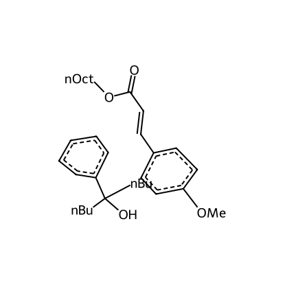 CCCCC(O)(CCCC)c1ccccc1.CCCCCCCCOC(=O)C=Cc1ccc(OC)cc1